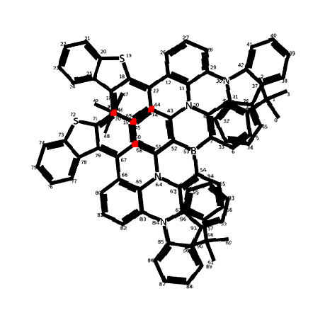 CC(C)(C)c1ccc2c(c1)N(c1c(-c3cccc4c3sc3ccccc34)cccc1-n1c3ccccc3c3ccccc31)c1cc(C(C)(C)C)cc3c1B2c1ccc(C(C)(C)C)cc1N3c1c(-c2cccc3sc4ccccc4c23)cccc1-n1c2ccccc2c2ccccc21